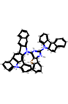 c1ccc2cc3c(cc2c1)c1cc2c4ccccc4n4c5ccccc5c(c1n3-c1nc(-n3c5ccccc5c5c6ccccc6ccc53)nc3c1sc1ccccc13)c24